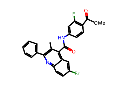 COC(=O)c1ccc(NC(=O)c2c(C)c(-c3ccccc3)nc3ccc(Br)cc23)cc1F